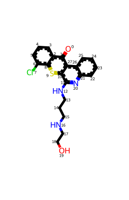 O=c1c2cccc(Cl)c2sc2c(NCCCNCCO)nc3ccccc3c12